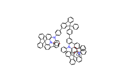 CC1(C)c2ccccc2-c2ccc(-c3cc(-c4ccc(C5(c6ccccc6)c6ccccc6-c6ccc(-c7ccc(N(c8ccccc8)c8cccc9c8-n8c%10ccccc%10c%10cccc(c%108)C98c9ccccc9-c9ccccc98)cc7)cc65)cc4)ccc3N(c3ccccc3)c3cc4c5c(c3)c3ccccc3n5-c3ccccc3C43c4ccccc4-c4ccccc43)cc21